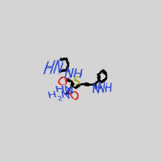 NC(=O)Nc1cc(C#Cc2n[nH]c3ccccc23)sc1C(=O)N[C@H]1CCCNC1